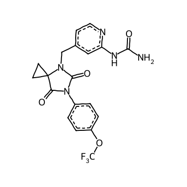 NC(=O)Nc1cc(CN2C(=O)N(c3ccc(OC(F)(F)F)cc3)C(=O)C23CC3)ccn1